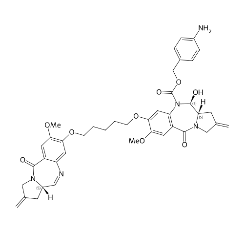 C=C1C[C@H]2C=Nc3cc(OCCCCCOc4cc5c(cc4OC)C(=O)N4CC(=C)C[C@H]4[C@H](O)N5C(=O)OCc4ccc(N)cc4)c(OC)cc3C(=O)N2C1